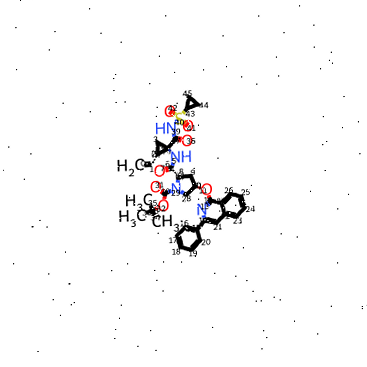 C=C[C@@H]1C[C@]1(NC(=O)[C@@H]1C[C@@H](Oc2nc(-c3ccccc3)cc3ccccc23)CN1C(=O)OC(C)(C)C)C(=O)NS(=O)(=O)C1CC1